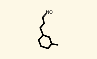 CC1CCCC(CCCN=O)C1